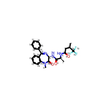 CC(CC(=O)N[C@@H](C)C(=O)N[C@H]1N=C(c2ccccc2)c2ccccc2N(C)C1=O)C(F)(F)F